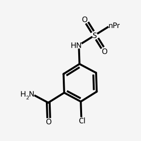 CCCS(=O)(=O)Nc1ccc(Cl)c(C(N)=O)c1